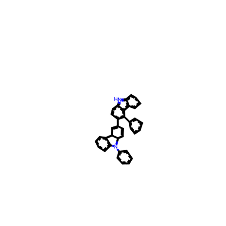 C1=CC2C(C=C1c1ccc3[nH]c4ccccc4c3c1-c1ccccc1)c1ccccc1N2c1ccccc1